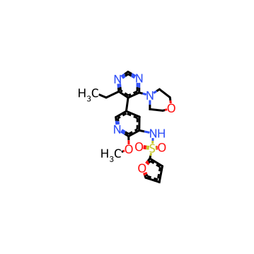 CCc1ncnc(N2CCOCC2)c1-c1cnc(OC)c(NS(=O)(=O)c2ccco2)c1